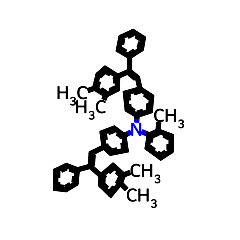 Cc1ccc(/C(=C\c2ccc(N(c3ccc(/C=C(/c4ccccc4)c4ccc(C)c(C)c4)cc3)c3ccccc3C)cc2)c2ccccc2)cc1C